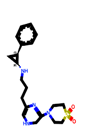 O=S1(=O)CCN(C2=NC(CCCN[C@@H]3C[C@H]3c3ccccc3)=CNC2)CC1